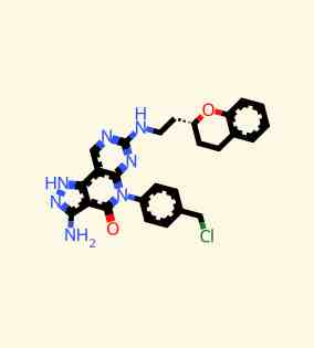 Nc1n[nH]c2c1c(=O)n(-c1ccc(CCl)cc1)c1nc(NCC[C@H]3CCc4ccccc4O3)ncc21